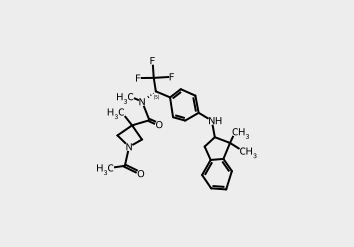 CC(=O)N1CC(C)(C(=O)N(C)[C@@H](c2ccc(NC3Cc4ccccc4C3(C)C)cc2)C(F)(F)F)C1